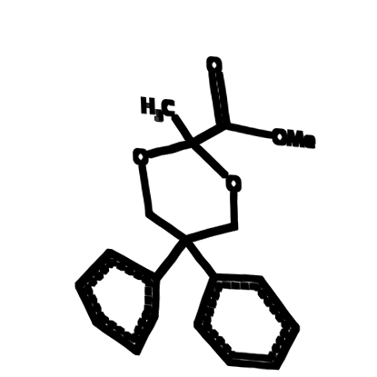 COC(=O)C1(C)OCC(c2ccccc2)(c2ccccc2)CO1